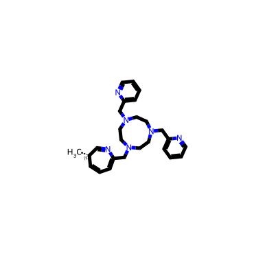 C[C@H]1C=CC=C(CN2CCN(Cc3ccccn3)CCN(Cc3ccccn3)CC2)N=C1